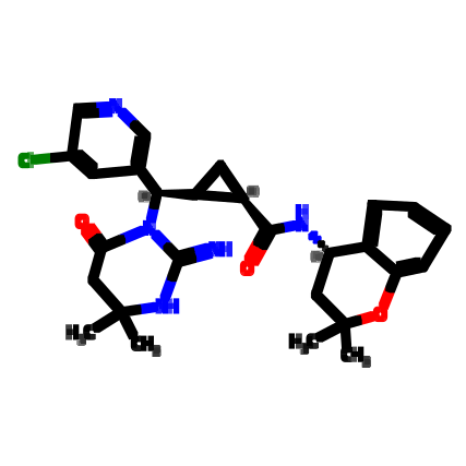 CC1(C)CC(=O)N([C@@H](c2cncc(Cl)c2)C2C[C@H]2C(=O)N[C@H]2CC(C)(C)Oc3ccccc32)C(=N)N1